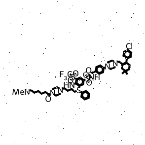 CNCCCCCC(=O)N1CCN(CCC(CSc2ccccc2)Nc2ccc(S(=O)(=O)NC(=O)c3ccc(N4CCN(CC5=C(c6ccc(Cl)cc6)CCC(C)(C)C5)CC4)cc3)cc2S(=O)(=O)C(F)(F)F)CC1